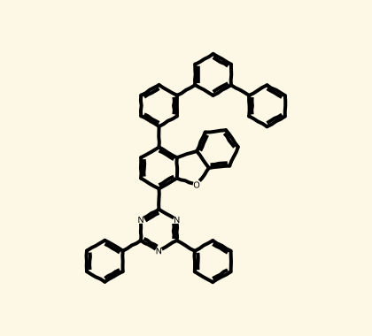 c1ccc(-c2cccc(-c3cccc(-c4ccc(-c5nc(-c6ccccc6)nc(-c6ccccc6)n5)c5oc6ccccc6c45)c3)c2)cc1